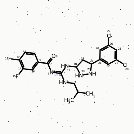 CC(C)CN/C(=N/C(=O)c1ccc(F)c(F)c1)NC1CC(c2cc(Cl)cc(Cl)c2)NN1